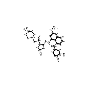 COc1cc(OC[C@H]2C[C@H](O)CN2C(=O)CN2CCN(C)CC2)c2c(Nc3ccc(F)c(Cl)c3)ncnc2c1